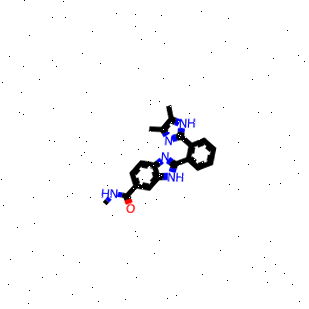 CNC(=O)c1ccc2nc(-c3ccccc3-c3nc(C)c(C)[nH]3)[nH]c2c1